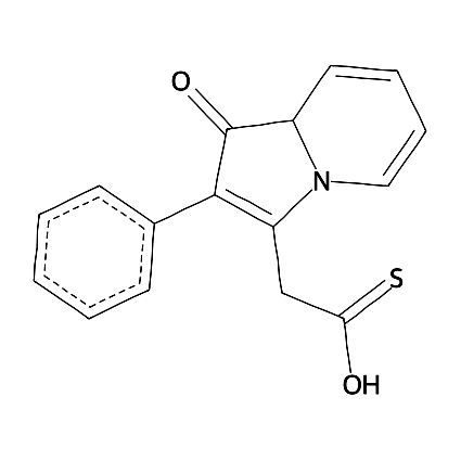 O=C1C(c2ccccc2)=C(CC(O)=S)N2C=CC=CC12